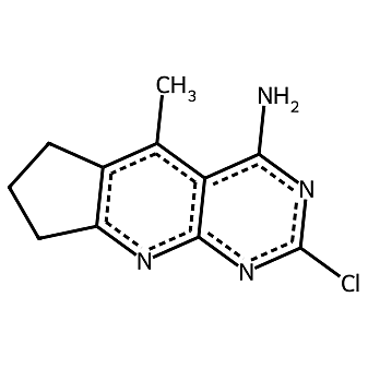 Cc1c2c(nc3nc(Cl)nc(N)c13)CCC2